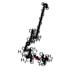 Cc1c[nH]c2c(OO)cc3c(c12)C(CCl)CN3C(=O)C12CC(C(=O)N3CC(CCl)c4c3cc(OC(=O)N(C)CCN(C)C(=O)OCc3ccc(NC(=O)C(CCCNC(N)=O)NC(=O)C(NC(=O)CCOCCOCCOCCOCCOCCOCCN5C(=O)C=CC5=O)C(C)C)cc3)c3[nH]cc(C)c43)(C1)C2